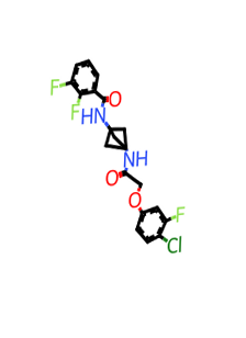 O=C(COc1ccc(Cl)c(F)c1)NC12CC(NC(=O)c3cccc(F)c3F)(C1)C2